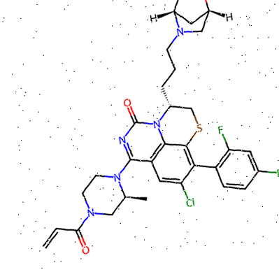 C=CC(=O)N1CCN(c2nc(=O)n3c4c(c(-c5ccc(F)cc5F)c(Cl)cc24)SC[C@H]3CCCN2C[C@@H]3C[C@H]2CO3)[C@@H](C)C1